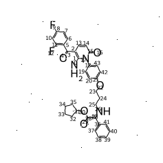 Nc1c(C(=O)c2ccc(F)cc2F)ccc(=O)n1-c1ccc(OCCCN[C@H](C(=O)OC2CCCC2)c2ccccc2)cc1